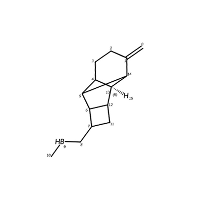 C=C1CCC2C3C4C(CBC)CC4[C@@H]2C13